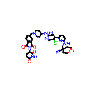 N#CC1(CNc2cccc(-c3cc(NC4CCN(Cc5ccc6c(c5)C(=O)N(C5CCC(=O)NC5=O)C6=O)CC4)ncc3Cl)n2)CCOCC1